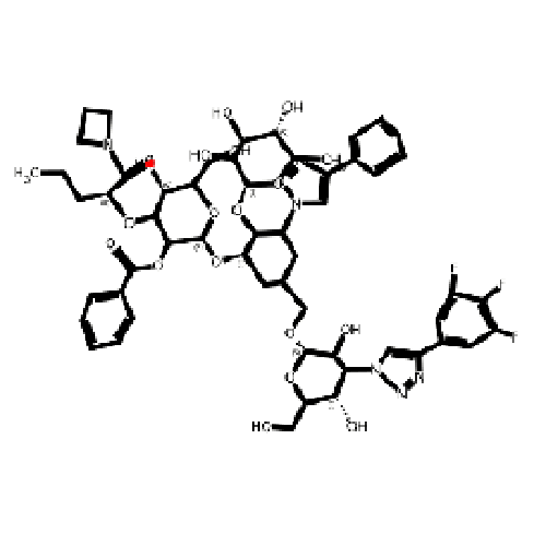 CCC[C@H](OC1C(OC(=O)c2ccccc2)[C@H](O[C@@H]2CC(CO[C@H]3OC(CO)[C@@H](O)C(n4cc(-c5cc(F)c(F)c(F)c5)nn4)C3O)CC(n3cc(-c4ccccc4)nn3)C2O[C@@H]2OC(C)[C@@H](O)C(O)C2O)OC(CO)[C@@H]1O)C(=O)N1CCC1